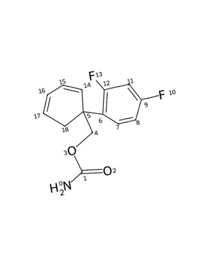 NC(=O)OCC1(c2ccc(F)cc2F)C=CC=CC1